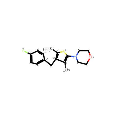 N#Cc1c(N2CCOCC2)sc(C(=O)O)c1Cc1ccc(F)cc1